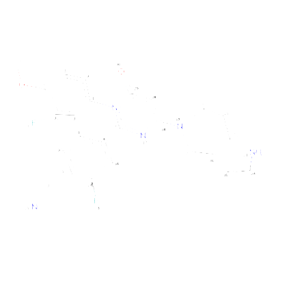 COc1ccc(-n2c(-c3ccc(C#N)c(F)c3)nc(N3CCC4NCCC4C3)cc2=O)cc1F